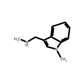 CNCc1cn(C)c2ccccc12